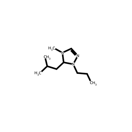 CCCN1N=CN(C)C1CC(C)C